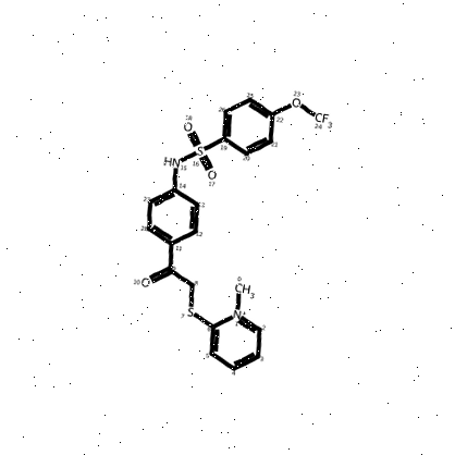 C[n+]1ccccc1SCC(=O)c1ccc(NS(=O)(=O)c2ccc(OC(F)(F)F)cc2)cc1